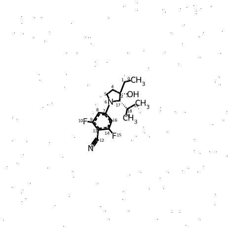 CC[C@]1(O)CCN(c2cc(F)c(C#N)c(F)c2)[C@H]1C(C)C